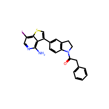 Nc1ncc(I)c2scc(-c3ccc4c(c3)CCN4C(=O)Cc3ccccc3)c12